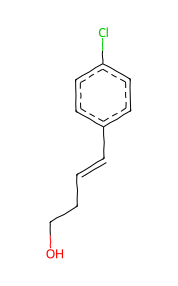 OCCC=Cc1ccc(Cl)cc1